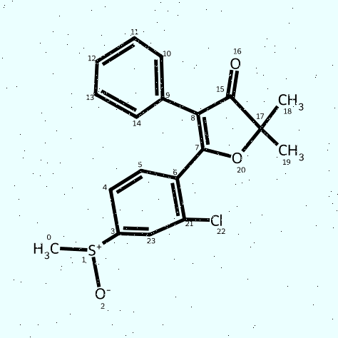 C[S+]([O-])c1ccc(C2=C(c3ccccc3)C(=O)C(C)(C)O2)c(Cl)c1